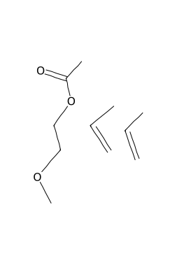 C=CC.C=CC.COCCOC(C)=O